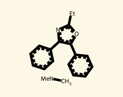 CCc1nc(-c2ccccc2)c(-c2ccccc2)o1.CNC